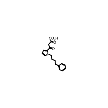 O=C(O)C(=O)CC(=O)c1cccn1CCCCc1ccccc1